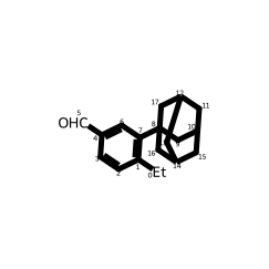 CCc1ccc(C=O)cc1C12CC3CC(CC(C3)C1)C2